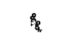 Brc1ccc2[nH]c3c(c2c1)CCC[C@H]3NCc1cccc2ccccc12